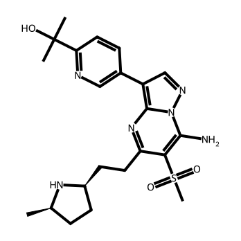 C[C@@H]1CC[C@H](CCc2nc3c(-c4ccc(C(C)(C)O)nc4)cnn3c(N)c2S(C)(=O)=O)N1